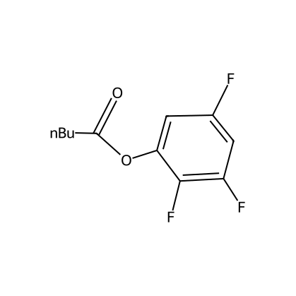 CCCCC(=O)Oc1cc(F)cc(F)c1F